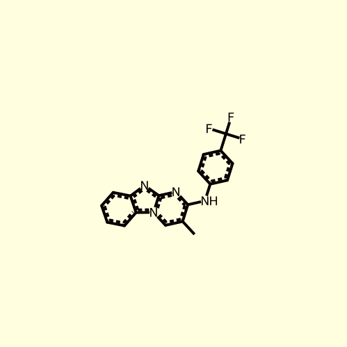 Cc1cn2c(nc1Nc1ccc(C(F)(F)F)cc1)nc1ccccc12